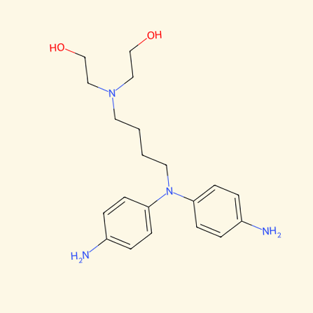 Nc1ccc(N(CCCCN(CCO)CCO)c2ccc(N)cc2)cc1